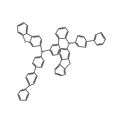 c1ccc(-c2ccc(-c3ccc(N(c4cccc(-c5ccccc5N(c5ccc(-c6ccccc6)cc5)c5ccc6c(c5)sc5ccccc56)c4)c4ccc5c(c4)sc4ccccc45)cc3)cc2)cc1